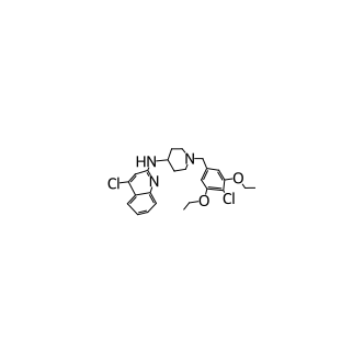 CCOc1cc(CN2CCC(Nc3cc(Cl)c4ccccc4n3)CC2)cc(OCC)c1Cl